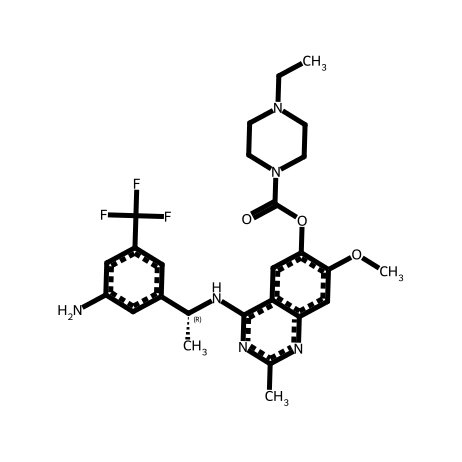 CCN1CCN(C(=O)Oc2cc3c(N[C@H](C)c4cc(N)cc(C(F)(F)F)c4)nc(C)nc3cc2OC)CC1